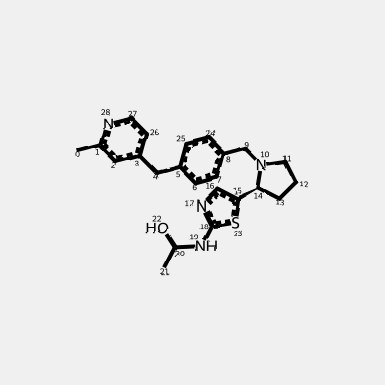 Cc1cc(Cc2ccc(CN3CCC[C@H]3c3cnc(NC(C)O)s3)cc2)ccn1